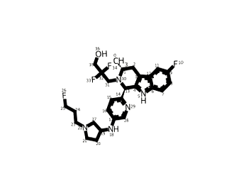 C[C@@H]1Cc2c([nH]c3ccc(F)cc23)[C@@H](c2ccc(NC3CCN(CCCF)C3)cn2)N1CC(F)(F)CO